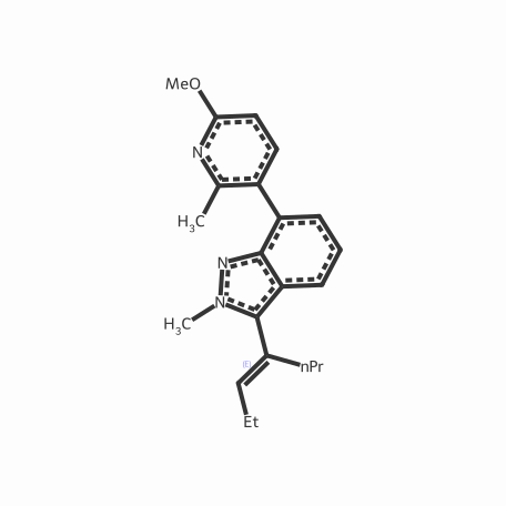 CC/C=C(\CCC)c1c2cccc(-c3ccc(OC)nc3C)c2nn1C